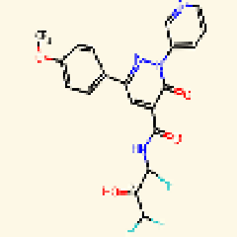 O=C(NC(F)[C@H](O)C(F)F)c1cc(-c2ccc(OC(F)(F)F)cc2)nn(-c2cccnc2)c1=O